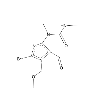 CNC(=O)N(C)c1nc(Br)n(COC)c1C=O